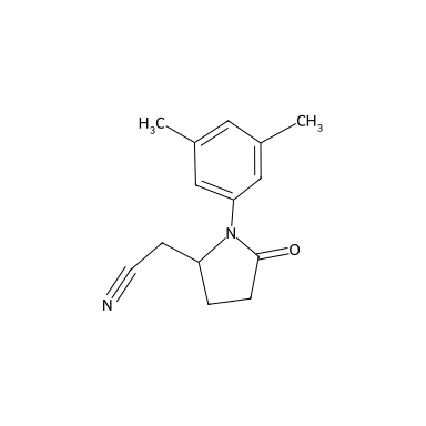 Cc1cc(C)cc(N2C(=O)CCC2CC#N)c1